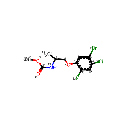 CC(COc1cc(Br)c(Cl)cc1F)NC(=O)OC(C)(C)C